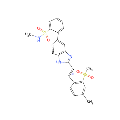 CNS(=O)(=O)c1ccccc1-c1ccc2[nH]c(/C=C/c3ccc(C)cc3S(C)(=O)=O)nc2c1